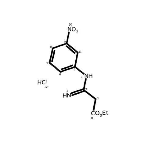 CCOC(=O)CC(=N)Nc1cccc([N+](=O)[O-])c1.Cl